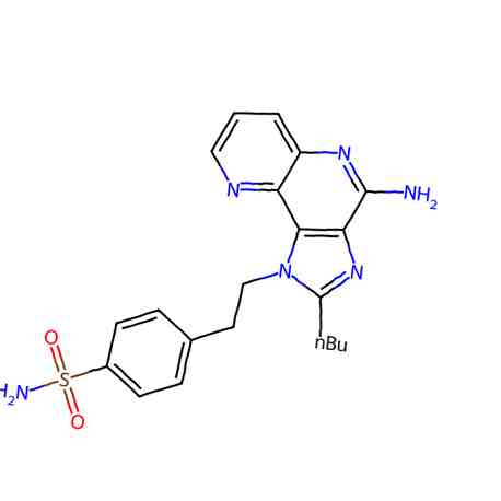 CCCCc1nc2c(N)nc3cccnc3c2n1CCc1ccc(S(N)(=O)=O)cc1